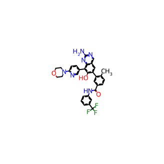 Cc1ccc(C(=O)Nc2cccc(C(F)(F)F)c2)cc1-c1cc2cnc(N)nc2c(-c2ccc(N3CCOCC3)nc2)c1O